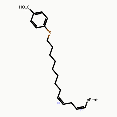 CCCCC/C=C\C/C=C\CCCCCCCCSc1ccc(C(=O)O)cc1